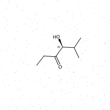 CCC(=O)[C@@H](O)C(C)C